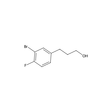 OCCCc1ccc(F)c(Br)c1